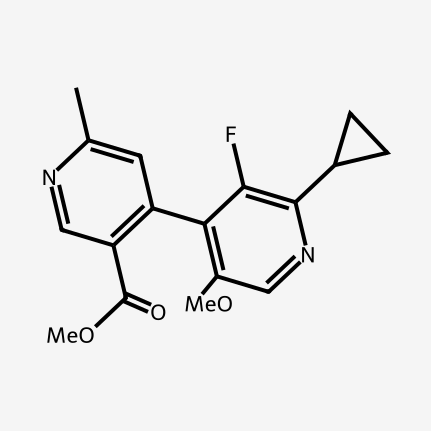 COC(=O)c1cnc(C)cc1-c1c(OC)cnc(C2CC2)c1F